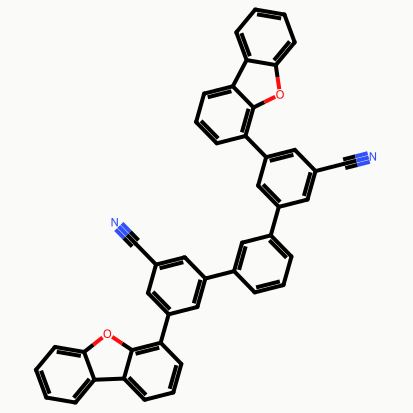 N#Cc1cc(-c2cccc(-c3cc(C#N)cc(-c4cccc5c4oc4ccccc45)c3)c2)cc(-c2cccc3c2oc2ccccc23)c1